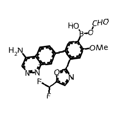 COc1cc(-c2ncc(C(F)F)o2)c(-c2ccc3c(N)cnnc3c2)cc1B(O)OC=O